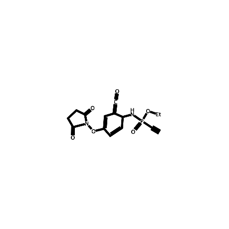 C#CP(=O)(NC1C=CC(ON2C(=O)CCC2=O)=CC1=C=O)OCC